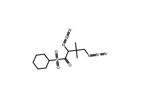 CC(C)(CN=[N+]=[N-])C(N=[N+]=[N-])C(=O)S(=O)(=O)C1CCCCC1